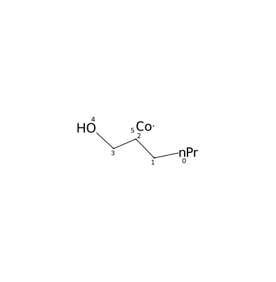 CCCCCCO.[Co]